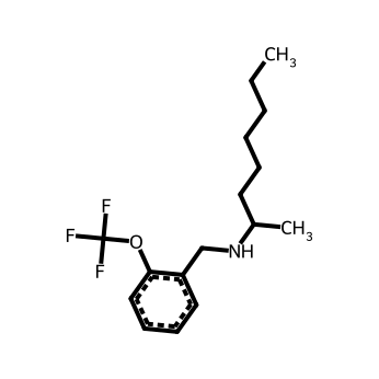 CCCCCCC(C)NCc1ccccc1OC(F)(F)F